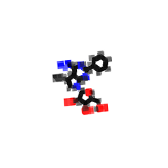 N#Cc1cn([C@@H]2OC(CO)[C@@H](O)[C@H]2O)c2nc(-c3ccccc3)nc(N)c12